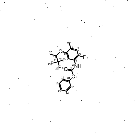 [CH2]c1cc(F)c(NC(=O)Oc2ccccc2)cc1OC(C)C(F)(F)F